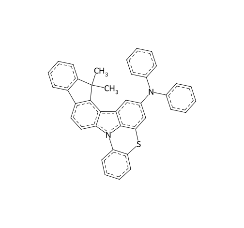 CC1(C)c2ccccc2-c2ccc3c(c21)c1cc(N(c2ccccc2)c2ccccc2)cc2c1n3-c1ccccc1S2